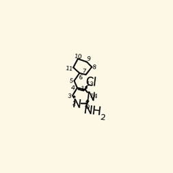 Nc1ncc(CC2CCCCC2)c(Cl)n1